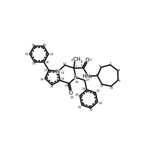 CC1(C(=O)NC2CCCCCC2)Cn2c(ccc2-c2ccccc2)C(=O)N1Cc1ccccc1